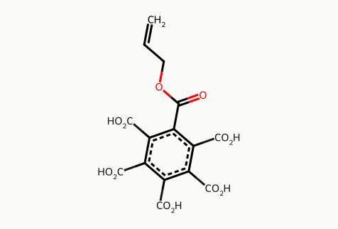 C=CCOC(=O)c1c(C(=O)O)c(C(=O)O)c(C(=O)O)c(C(=O)O)c1C(=O)O